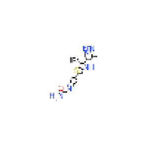 Cc1cc(-c2[nH]c3cc(C4CC5CN(CC(N)=O)CC5C4)sc3c2C(C)C)cn2ncnc12